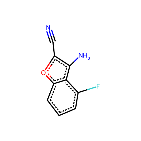 N#Cc1oc2cccc(F)c2c1N